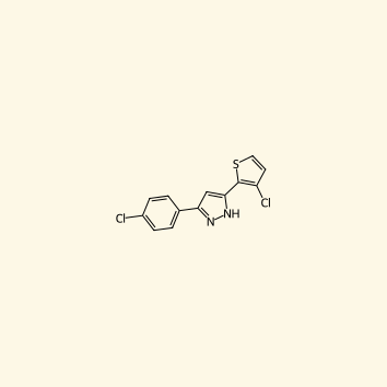 Clc1ccc(-c2cc(-c3sccc3Cl)[nH]n2)cc1